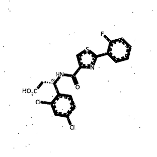 O=C(O)C[C@H](NC(=O)c1csc(-c2ccccc2F)n1)c1ccc(Cl)cc1Cl